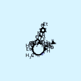 CCOc1ccc2nc(C(F)(F)F)c(O[C@@H]3C[C@H]4C(=O)N[C@]5(C(=O)NS(=O)(=O)C6CC6)CC5/C=C\CC[C@@H](C)C[C@@H](CC)[C@H](NC(=O)O)C(=O)N4C3)nc2c1